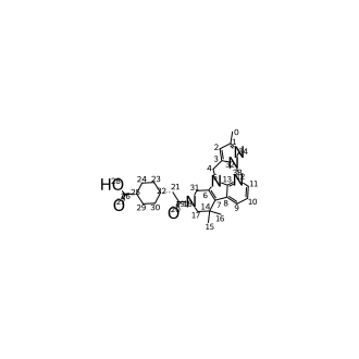 Cc1cc(Cn2c3c(c4cccnc42)C(C)(C)CN(C(=O)C[C@H]2CC[C@H](C(=O)O)CC2)C3)n(C)n1